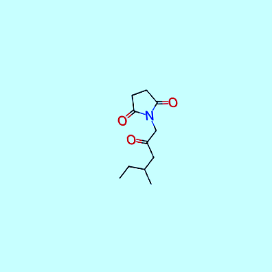 CCC(C)CC(=O)CN1C(=O)CCC1=O